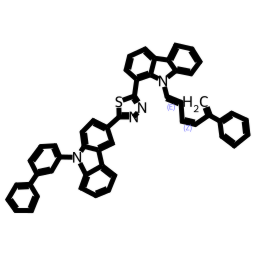 C=C(/C=C\C=C\n1c2ccccc2c2cccc(-c3nnc(-c4ccc5c(c4)c4ccccc4n5-c4cccc(-c5ccccc5)c4)s3)c21)c1ccccc1